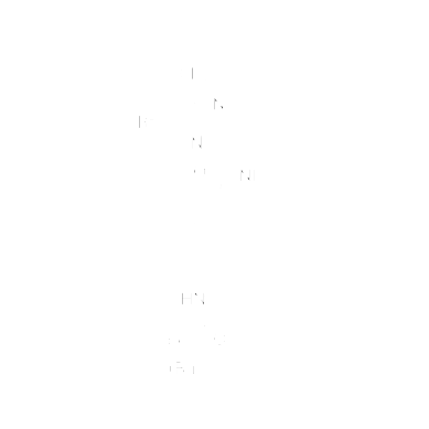 CC(C)(C)OC(=O)NCC1CCC(C(=O)N[C@@H](Cc2ccccc2)c2nc(Br)c(C(F)(F)F)[nH]2)CC1